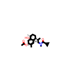 CC(=O)O[C@@H]1[CH][C@@]2(O)[C@H](C)CC[C@@H](C(C)CN(C)C(=O)C3CC3)[C@H]2C=C1C